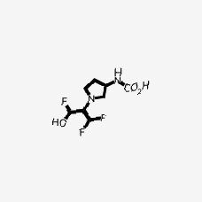 O=C(O)NC1CCN(C(C(O)F)C(F)F)C1